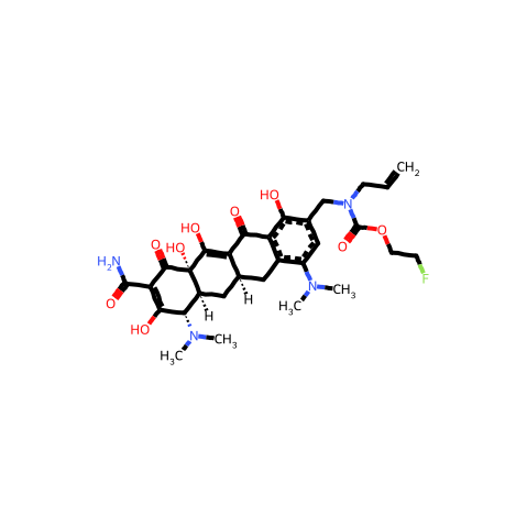 C=CCN(Cc1cc(N(C)C)c2c(c1O)C(=O)C1=C(O)[C@]3(O)C(=O)C(C(N)=O)=C(O)[C@@H](N(C)C)[C@@H]3C[C@@H]1C2)C(=O)OCCF